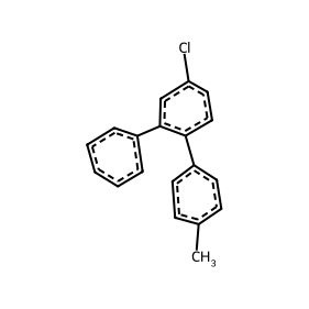 Cc1ccc(-c2ccc(Cl)cc2-c2ccccc2)cc1